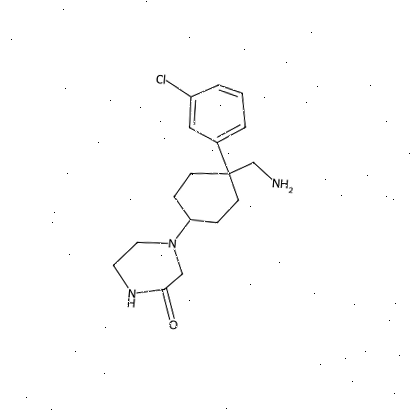 NCC1(c2cccc(Cl)c2)CCC(N2CCNC(=O)C2)CC1